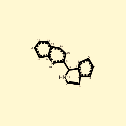 C1=Cc2ccccc2C(c2ccc3ccccc3n2)N1